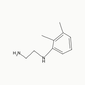 Cc1cccc(NCCN)c1C